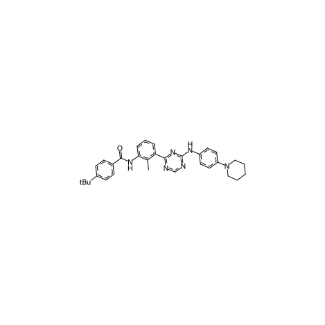 Cc1c(NC(=O)c2ccc(C(C)(C)C)cc2)cccc1-c1ncnc(Nc2ccc(N3CCCCC3)cc2)n1